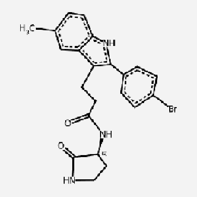 Cc1ccc2[nH]c(-c3ccc(Br)cc3)c(CCC(=O)N[C@H]3CCNC3=O)c2c1